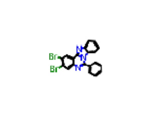 Brc1cc2nc(-c3ccccc3)n3c4ccccc4nc3c2cc1Br